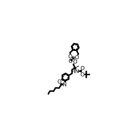 CCCCCc1nc2cc(CC[C@](C)(COP3(=O)OCc4ccccc4CO3)NC(=O)OC(C)(C)C)ccc2o1